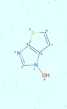 On1cnc2sccc21